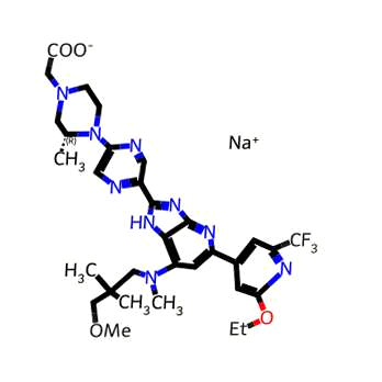 CCOc1cc(-c2cc(N(C)CC(C)(C)COC)c3[nH]c(-c4cnc(N5CCN(CC(=O)[O-])C[C@H]5C)cn4)nc3n2)cc(C(F)(F)F)n1.[Na+]